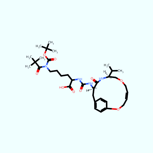 CC(C)[C@H]1COCC=CCOc2ccc(cc2)C[C@@H](NC(=O)NC(CCCCN(C(=O)OC(C)(C)C)C(=O)C(C)(C)C)C(=O)O)C(=O)N1